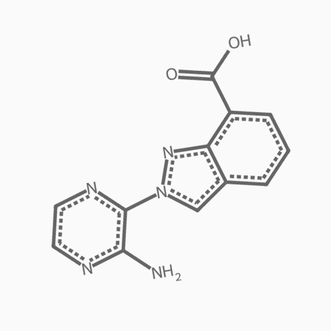 Nc1nccnc1-n1cc2cccc(C(=O)O)c2n1